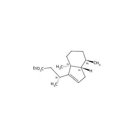 CCOC(=O)C[C@@H](C)C1=CC[C@H]2[C@H](C)CCC[C@]12C